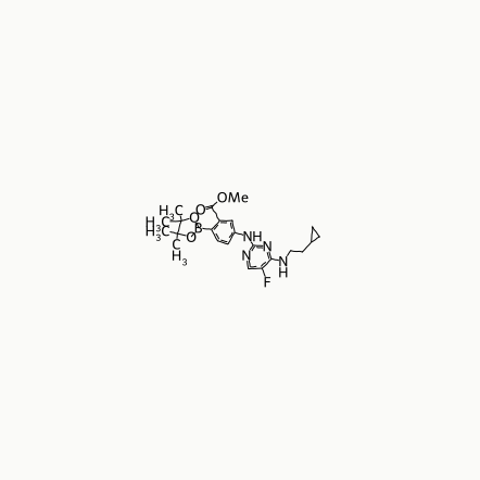 COC(=O)c1cc(Nc2ncc(F)c(NCCC3CC3)n2)ccc1B1OC(C)(C)C(C)(C)O1